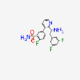 NC(Cc1cc(F)cc(F)c1)c1ncccc1-c1ccc(F)c(S(N)(=O)=O)c1